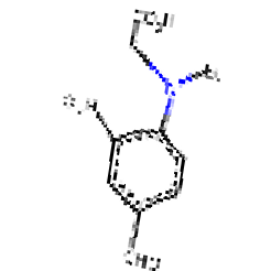 CCN(CC(=O)O)c1ccc(C=O)cc1[N+](=O)[O-]